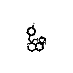 Fc1ccc(CC2(Cn3ccnc3)SCCc3ccccc32)cc1